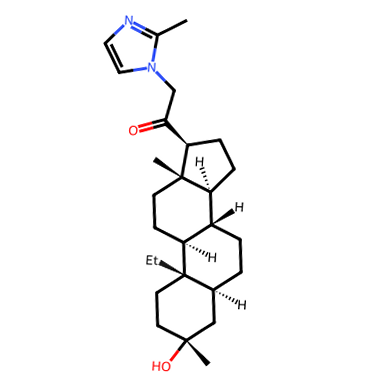 CC[C@]12CC[C@@](C)(O)C[C@@H]1CC[C@H]1[C@@H]3CC[C@H](C(=O)Cn4ccnc4C)[C@@]3(C)CC[C@@H]12